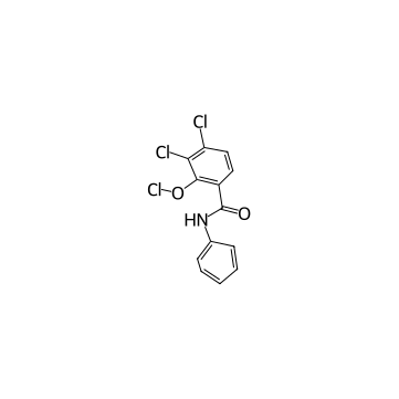 O=C(Nc1ccccc1)c1ccc(Cl)c(Cl)c1OCl